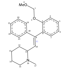 COCOc1ccccc1/C(=C/C1CCCCN1C)c1ccccc1